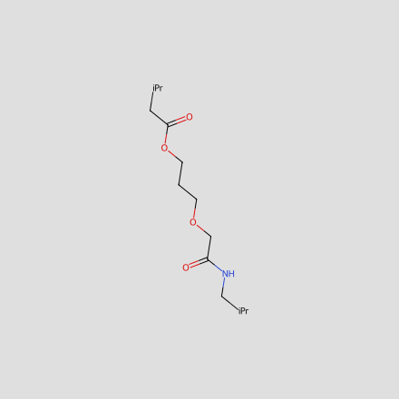 CC(C)CNC(=O)COCCCOC(=O)CC(C)C